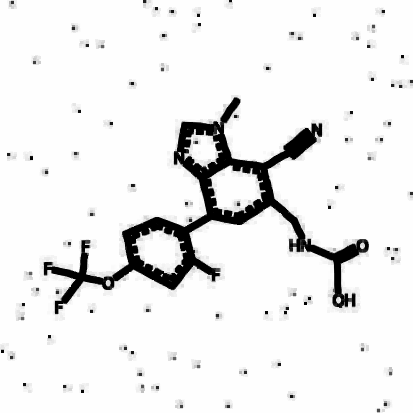 Cn1cnc2c(-c3ccc(OC(F)(F)F)cc3F)cc(CNC(=O)O)c(C#N)c21